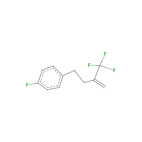 C=C(CCc1ccc(F)cc1)C(F)(F)F